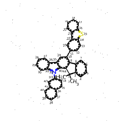 CC1(C)c2ccccc2-c2c(-c3ccc4sc5ccccc5c4c3)cc3c4ccccc4n(-c4ccc5ccccc5c4)c3c21